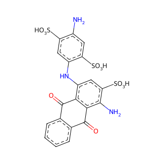 Nc1cc(S(=O)(=O)O)c(Nc2cc(S(=O)(=O)O)c(N)c3c2C(=O)c2ccccc2C3=O)cc1S(=O)(=O)O